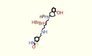 Br.Br.CCCN(CCCCCCNCCc1ccc2[nH]c(=O)sc2c1)[C@H]1CCc2c(O)cccc2C1